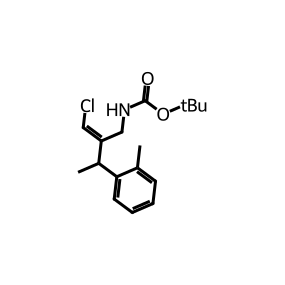 Cc1ccccc1C(C)C(=CCl)CNC(=O)OC(C)(C)C